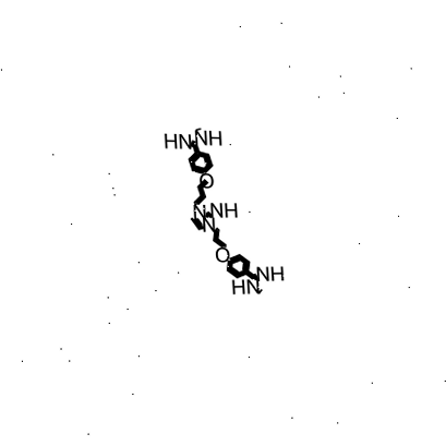 CNC(=N)c1ccc(OCCCn2ccn(CCCOc3ccc(C(=N)NC)cc3)c2=N)cc1